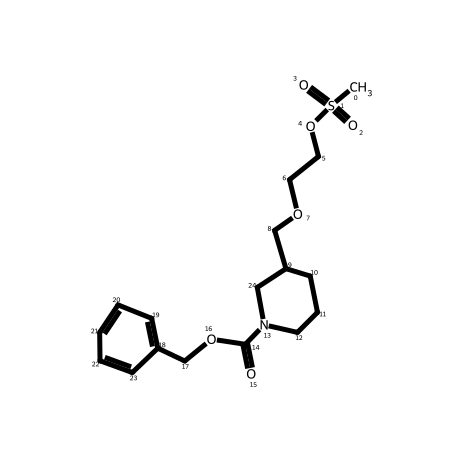 CS(=O)(=O)OCCOCC1CCCN(C(=O)OCc2ccccc2)C1